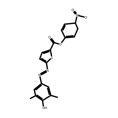 Cc1cc(/N=N/c2ccc(C(=O)OC3=CCC([N+](=O)[O-])C=C3)s2)cc(C)c1O